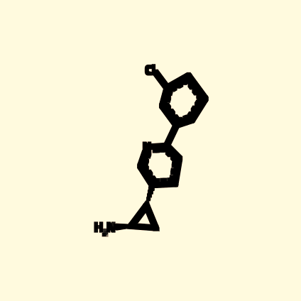 N[C@@H]1C[C@H]1c1ccc(-c2cccc(Cl)c2)nc1